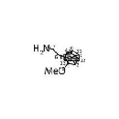 CO[C]12[CH]3[CH]4[CH]5[C]1(CCN)[Fe]45321678[CH]2[CH]1[CH]6[CH]7[CH]28